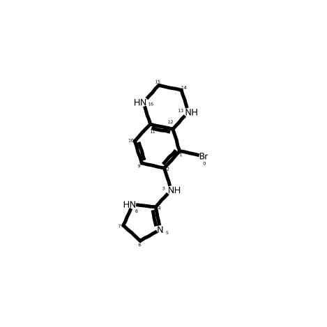 Brc1c(NC2=NCCN2)ccc2c1NCCN2